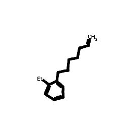 C=CCCCCCc1ccccc1CC